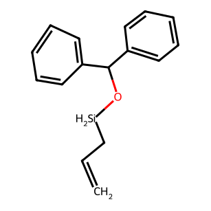 C=CC[SiH2]OC(c1ccccc1)c1ccccc1